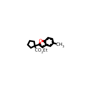 CCOC(=O)C1(c2cc3cc(C)ccc3o2)CCCC1